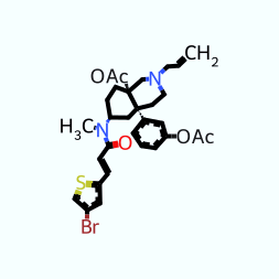 C=CCN1CC[C@@]2(c3cccc(OC(C)=O)c3)C[C@@H](N(C)C(=O)/C=C/c3cc(Br)cs3)CC[C@]2(OC(C)=O)C1